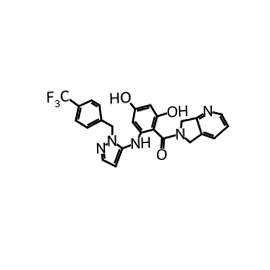 O=C(c1c(O)cc(O)cc1Nc1ccnn1Cc1ccc(C(F)(F)F)cc1)N1Cc2cccnc2C1